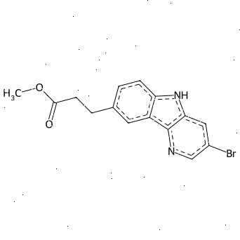 COC(=O)CCc1ccc2[nH]c3cc(Br)cnc3c2c1